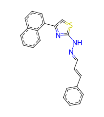 C(=Cc1ccccc1)C=NNc1nc(-c2cccc3ccccc23)cs1